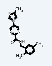 Cc1ccc(C)c(CNC(=O)c2ncc(-n3cnc(C)c3)cn2)c1